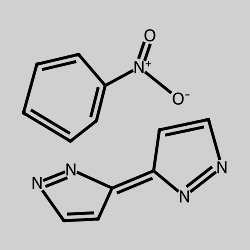 C1=CC(=C2C=CN=N2)N=N1.O=[N+]([O-])c1ccccc1